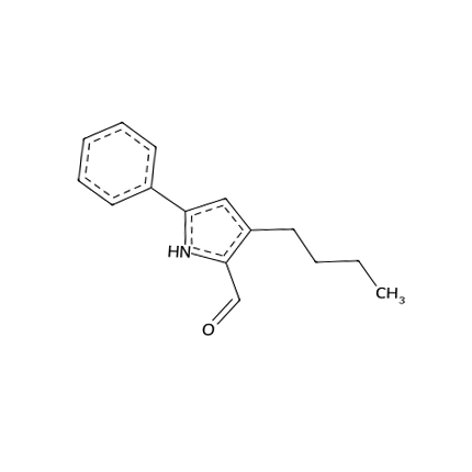 CCCCc1cc(-c2ccccc2)[nH]c1C=O